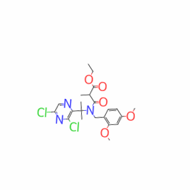 CCOC(=O)C(C)C(=O)N(Cc1ccc(OC)cc1OC)C(C)(C)c1ncc(Cl)nc1Cl